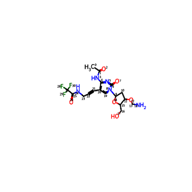 CC(=O)Nc1nc(=O)n(C2CC(OCN)C(CO)O2)cc1C#CCNC(=O)C(F)(F)F